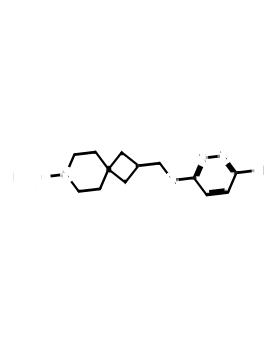 O=C(O)N1CCC2(CC1)CC(CNc1ccc(Cl)nn1)C2